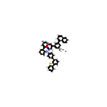 CC1C=C(c2cccc(N(c3ccc(-c4cccc5c4sc4ccccc45)cc3)c3ccccc3-c3ccccc3)c2)C=C(c2cccc3ccccc23)C1